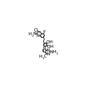 Cc1nc(N)nc2c1ccn2[C@@H]1C=C(CCc2cc(F)c3cc(Cl)c(N)nc3c2)[C@@H](O)[C@H]1O